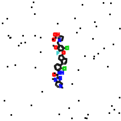 COc1c(CN2CCC[C@H]2C(=O)O)cc(Cl)c(OC2CCc3c(-c4cccc(NC(=O)c5nc6c(n5C)CCN(C)C6)c4Cl)cccc32)c1F